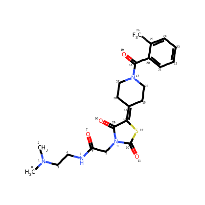 CN(C)CCNC(=O)CN1C(=O)SC(=C2CCN(C(=O)c3ccccc3C(F)(F)F)CC2)C1=O